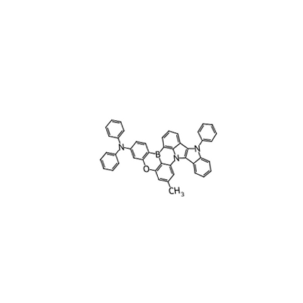 Cc1cc2c3c(c1)-n1c4c(cccc4c4c1c1ccccc1n4-c1ccccc1)B3c1ccc(N(c3ccccc3)c3ccccc3)cc1O2